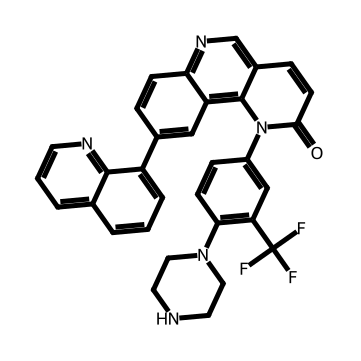 O=c1ccc2cnc3ccc(-c4cccc5cccnc45)cc3c2n1-c1ccc(N2CCNCC2)c(C(F)(F)F)c1